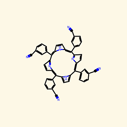 N#Cc1cccc(-c2c3nc(c(-c4cccc(C#N)c4)c4ccc([nH]4)c(-c4cccc(C#N)c4)c4nc(c(-c5cccc(C#N)c5)c5ccc2[nH]5)C=C4)C=C3)c1